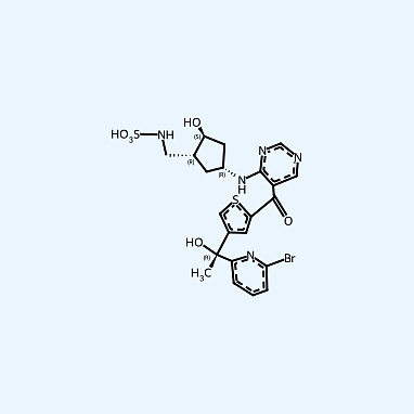 C[C@@](O)(c1csc(C(=O)c2cncnc2N[C@@H]2C[C@H](CNS(=O)(=O)O)[C@@H](O)C2)c1)c1cccc(Br)n1